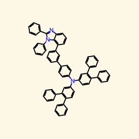 c1ccc(-c2ccc(N(c3ccc(-c4cccc(-c5cccc6nc(-c7ccccc7)n(-c7ccccc7)c56)c4)cc3)c3ccc(-c4ccccc4)c(-c4ccccc4)c3)cc2-c2ccccc2)cc1